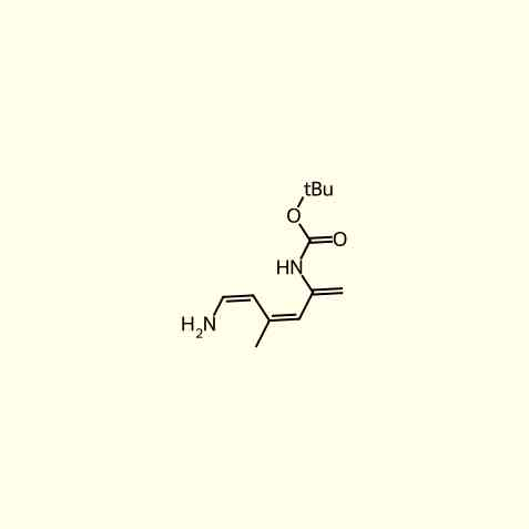 C=C(/C=C(C)\C=C/N)NC(=O)OC(C)(C)C